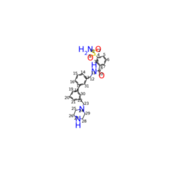 NS(=O)(=O)c1cccc(C(=O)NCc2cccc(-c3cccc(CN4CCNCC4)c3)c2)c1